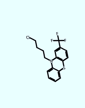 FC(F)(F)c1ccc2c(c1)N(CCCCCl)c1ccccc1S2